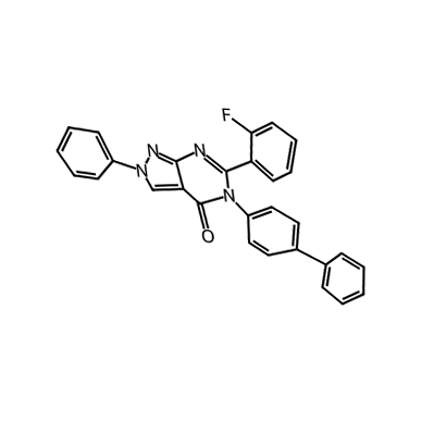 O=c1c2cn(-c3ccccc3)nc2nc(-c2ccccc2F)n1-c1ccc(-c2ccccc2)cc1